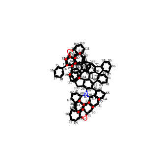 Cc1cccc(-c2c(-c3ccccc3-c3ccccc3)ccc3c2-c2c(c(N(c4ccccc4-c4ccccc4)c4cccc(C)c4-c4cccc5oc6ccccc6c45)c(-c4ccccc4)c(-c4ccccc4)c2-c2c4c(cc(-c5ccccc5)c2-c2ccccc2)-c2ccccc2C4)C3)c1-c1cccc2oc3ccccc3c12